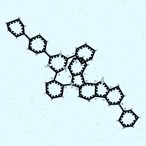 c1ccc(-c2ccc(-c3nc(-c4ccccc4)nc(-c4ccccc4-n4c5ccccc5c5c6oc7ccc(-c8ccccc8)cc7c6ccc54)n3)cc2)cc1